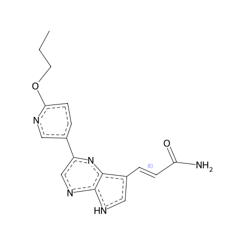 CCCOc1ccc(-c2cnc3[nH]cc(/C=C/C(N)=O)c3n2)cn1